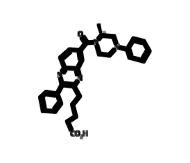 C[C@H]1CN(c2ccccc2)CCN1C(=O)c1ccc2nc(-c3ccccc3)c(CCCCC(=O)O)nc2c1